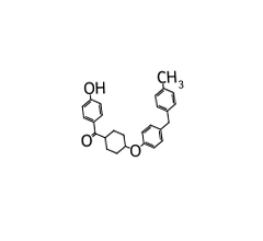 Cc1ccc(Cc2ccc(OC3CCC(C(=O)c4ccc(O)cc4)CC3)cc2)cc1